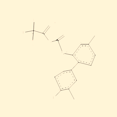 Cc1ccc(-c2ccc(F)c(C)c2)c(NC(=O)OC(=O)C(F)(F)F)c1